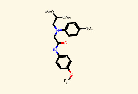 COC(CN(CC(=O)Nc1ccc(OC(F)(F)F)cc1)c1ccc([N+](=O)[O-])cc1)OC